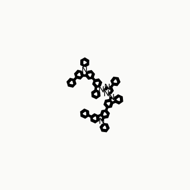 c1ccc(-c2ccc3c(c2)c2cc(-c4ccc5c(c4)c4ccccc4n5-c4cc(-c5ccccc5)nc(-n5c6ccccc6c6cc(-c7ccc8c(c7)c7cc(-c9ccccc9)ccc7n8-c7ccccc7)ccc65)n4)ccc2n3-c2ccccc2)cc1